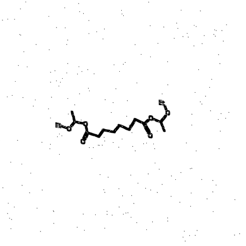 CCOC(C)OC(=O)CCCCCCC(=O)OC(C)OCC